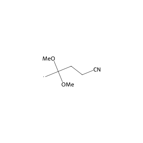 [CH2]C(CCC#N)(OC)OC